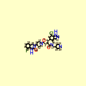 O=C(C[C@@H]1Cc2cc(Cl)c3[nH]ncc3c2CN(Cc2ccncc2)C1=O)N1CCC(N2Cc3cccc(F)c3NC2=O)CC1